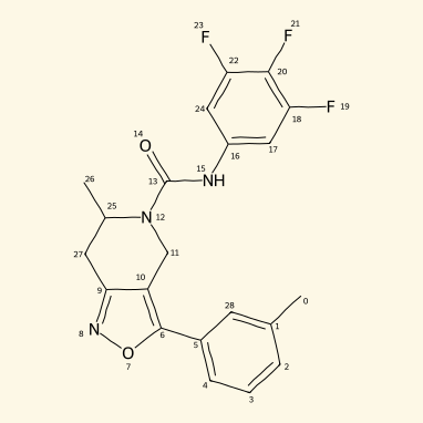 Cc1cccc(-c2onc3c2CN(C(=O)Nc2cc(F)c(F)c(F)c2)C(C)C3)c1